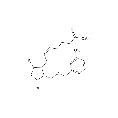 COC(=O)CCC/C=C\CC1C(F)CC(O)C1COCc1cccc(C)c1